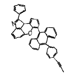 CC#Cc1ccc(-c2c3ccccc3c(-c3cccc4c3Oc3cccc5c3C4C(c3ccccc3)=N5)c3ccccc23)cc1